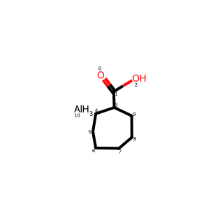 O=C(O)C1CCCCCC1.[AlH3]